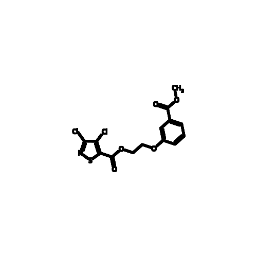 COC(=O)c1cccc(OCCOC(=O)c2snc(Cl)c2Cl)c1